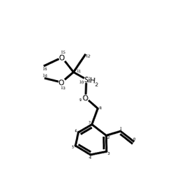 C=Cc1ccccc1CO[SiH2]C(C)(OC)OC